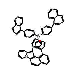 c1ccc(-c2c3c4c(-c5ccc(N(c6ccc(-c7cccc8ccccc78)cc6)c6ccc(-c7cccc8ccccc78)cc6)cc5)cccc4ccc3n3ccccc23)cc1